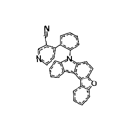 N#Cc1cnccc1-c1ccccc1-n1c2ccccc2c2c3c(ccc21)oc1ccccc13